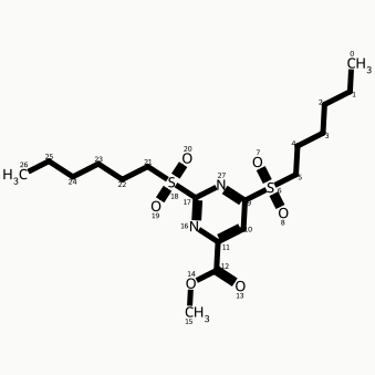 CCCCCCS(=O)(=O)c1cc(C(=O)OC)nc(S(=O)(=O)CCCCCC)n1